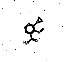 NC(=O)c1ccnc(N2CC2)c1N=O